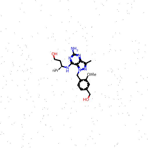 CCC[C@@H](CCO)Nc1nc(N)nc2c(C)nn(Cc3ccc(CO)cc3OC)c12